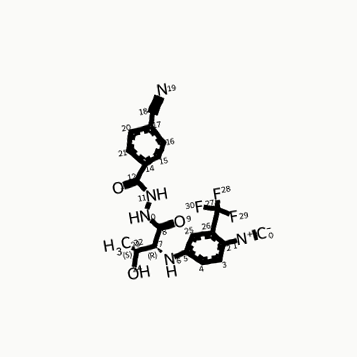 [C-]#[N+]c1ccc(N[C@@H](C(=O)NNC(=O)c2ccc(C#N)cc2)[C@H](C)O)cc1C(F)(F)F